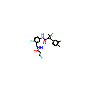 Cc1ccc(C2C(C(=O)Nc3ccc(F)c(CNC(=O)CCF)c3)C2(C)Cl)cc1C